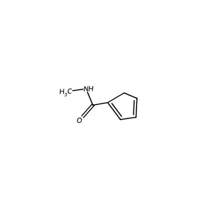 CNC(=O)C1=CC=CC1